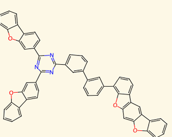 c1cc(-c2cccc(-c3cccc4c3oc3cc5oc6ccccc6c5cc34)c2)cc(-c2nc(-c3ccc4c(c3)oc3ccccc34)nc(-c3ccc4c(c3)oc3ccccc34)n2)c1